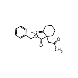 C=C1CCCCC1(CC(C)=O)C(=O)OCc1ccccc1